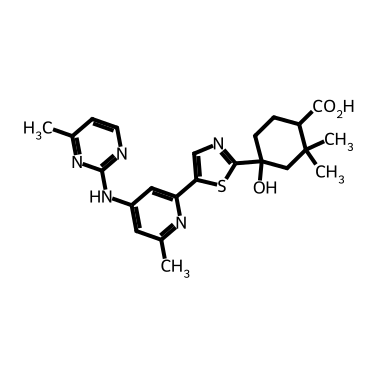 Cc1cc(Nc2nccc(C)n2)cc(-c2cnc(C3(O)CCC(C(=O)O)C(C)(C)C3)s2)n1